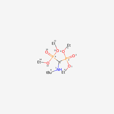 CCOP(=O)(OCC)C(NC(C)(C)C)P(=O)(OCC)OCC